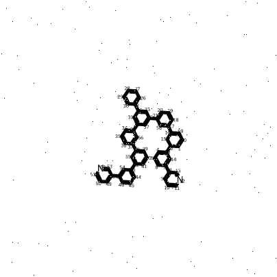 C1=CC(c2cccc(-c3cccnc3)c2)CC(c2cccc(-c3cc(-c4ccccc4)cc(-c4cccc(-c5cccc(-c6cccc(-c7cccnc7)c6)c5)c4)c3)c2)=C1